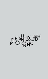 C[C@@H](Nc1ccnc2c1cc(C1(O)CCS(=N)(=O)CC1)c(=O)n2C)c1cccc(C(F)F)c1F